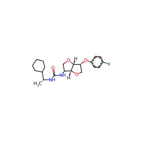 C[C@@H](NC(=O)N[C@H]1CO[C@H]2[C@@H]1OC[C@@H]2Oc1ccc(F)cc1)C1CCCCC1